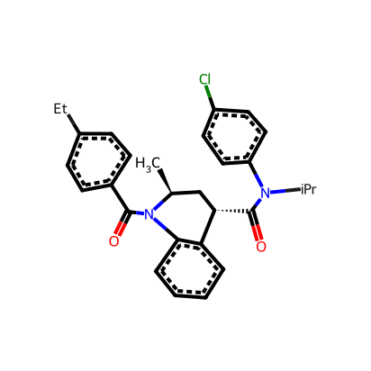 CCc1ccc(C(=O)N2c3ccccc3[C@@H](C(=O)N(c3ccc(Cl)cc3)C(C)C)C[C@@H]2C)cc1